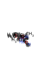 CCCCn1c(=O)c(NC(=O)Nc2c(C(C)C)cc(CO[Si](C)(C)C(C)(C)C)cc2C(C)C)c(-c2cccc(OCc3cccnc3)c2)c2cccnc21